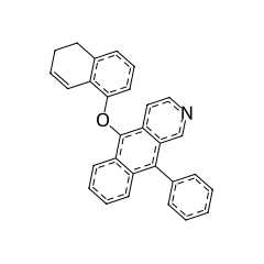 C1=Cc2c(cccc2Oc2c3ccccc3c(-c3ccccc3)c3cnccc23)CC1